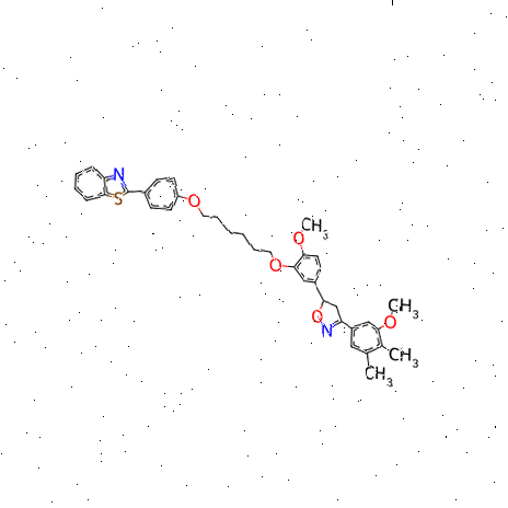 COc1ccc(C2CC(c3cc(C)c(C)c(OC)c3)=NO2)cc1OCCCCCCOc1ccc(-c2nc3ccccc3s2)cc1